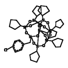 Clc1ccc(C[Si]23O[Si]4(C5CCCC5)O[Si]5(C6CCCC6)O[Si](C6CCCC6)(O2)O[Si]2(C6CCCC6)O[Si](C6CCCC6)(O3)O[Si](C3CCCC3)(O4)O[Si](C3CCCC3)(O5)O2)cc1